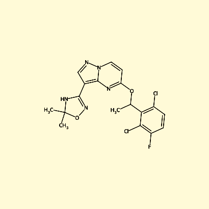 CC(Oc1ccn2ncc(C3=NOC(C)(C)N3)c2n1)c1c(Cl)ccc(F)c1Cl